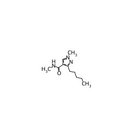 CCCCCc1nn(C)cc1C(=O)NC